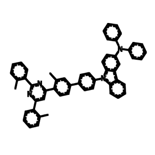 Cc1ccccc1-c1cc(-c2ccc(-c3ccc(-n4c5ccccc5c5cc(N(c6ccccc6)c6ccccc6)ccc54)cc3)cc2C)nc(-c2ccccc2C)n1